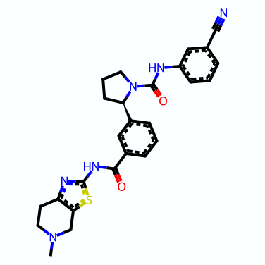 CN1CCc2nc(NC(=O)c3cccc([C@H]4CCCN4C(=O)Nc4cccc(C#N)c4)c3)sc2C1